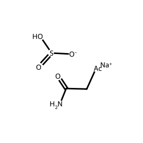 CC(=O)CC(N)=O.O=S([O-])O.[Na+]